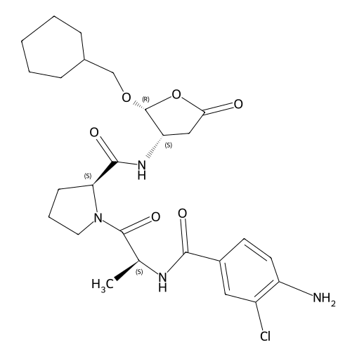 C[C@H](NC(=O)c1ccc(N)c(Cl)c1)C(=O)N1CCC[C@H]1C(=O)N[C@H]1CC(=O)O[C@H]1OCC1CCCCC1